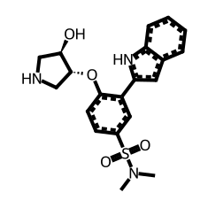 CN(C)S(=O)(=O)c1ccc(O[C@@H]2CNC[C@H]2O)c(-c2cc3ccccc3[nH]2)c1